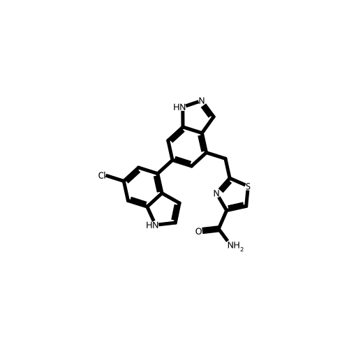 NC(=O)c1csc(Cc2cc(-c3cc(Cl)cc4[nH]ccc34)cc3[nH]ncc23)n1